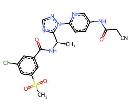 C[C@@H](NC(=O)c1cc(Cl)cc(S(C)(=O)=O)c1)c1ncnn1-c1ccc(NC(=O)CC#N)cn1